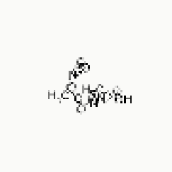 Cc1cc(CN2CCS(=O)(=O)CC2)ccc1COc1ccccc1-c1csc(N2CCC(C(=O)O)CC2C)n1